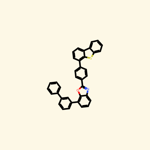 c1ccc(-c2cccc(-c3cccc4nc(-c5ccc(-c6cccc7c6sc6ccccc67)cc5)oc34)c2)cc1